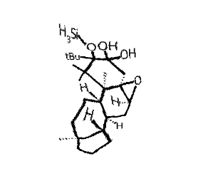 CC(C)(C)C1(O[SiH3])C(O)(O)C[C@]23O[C@H]2C[C@H]2[C@@H]4CCC[C@@]4(C)CC[C@@H]2[C@@]3(C)C1(C)C